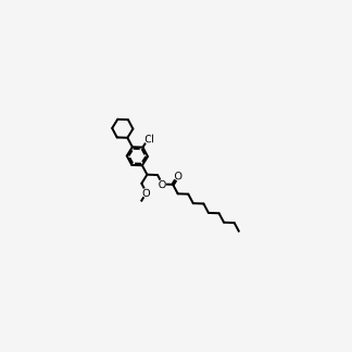 CCCCCCCCCC(=O)OCC(COC)c1ccc(C2CCCCC2)c(Cl)c1